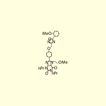 CCCn1c(=O)c2c(nc(-c3ccc(OCc4noc(-c5ccccc5OC)n4)cc3)n2CCOC)n(CCC)c1=O